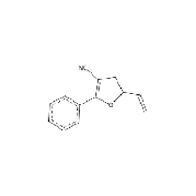 C=CC1CC(C#N)=C(c2ccccc2)O1